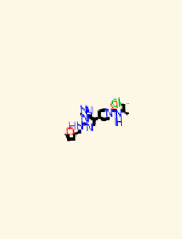 CC(NC(=O)N1CC=C(c2cnc(NCc3ccco3)n3cnnc23)CC1)[C@@H](C)Cl